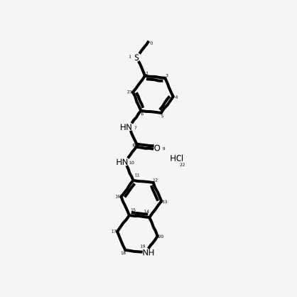 CSc1cccc(NC(=O)Nc2ccc3c(c2)CCNC3)c1.Cl